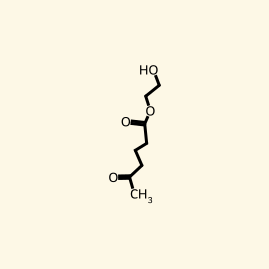 CC(=O)CCCC(=O)OCCO